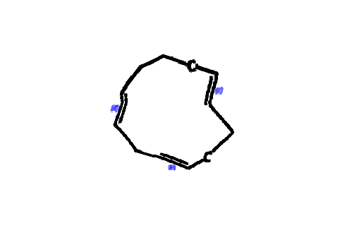 [CH]1/C=C/CC/C=C/C/C=C\CC1